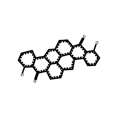 O=c1c2ccc3cc4c5cccc(Cl)c5c(=O)c5ccc6cc(c7cccc(Cl)c17)c2c3c6c54